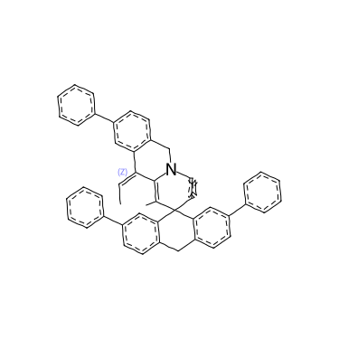 C/C=C1\C2=C(C)C3(c4cc(-c5ccccc5)ccc4Cc4ccc(-c5ccccc5)cc43)c3ccccc3N2Cc2ccc(-c3ccccc3)cc21